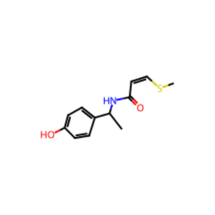 CS/C=C\C(=O)NC(C)c1ccc(O)cc1